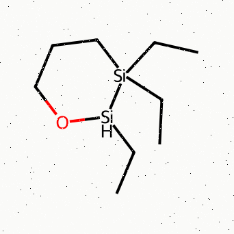 CC[SiH]1OCCC[Si]1(CC)CC